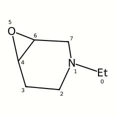 CCN1CCC2OC2C1